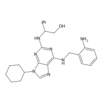 CC(C)C(CO)Nc1nc(NCc2ccccc2N)c2ncn(C3CCCCC3)c2n1